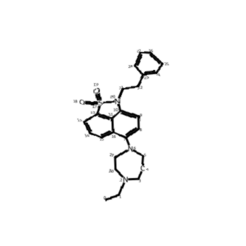 CCN1CCCN(c2ccc3c4c(cccc24)S(=O)(=O)N3CCc2ccccc2)CC1